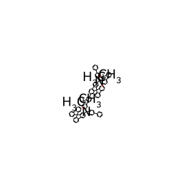 CC1(C)c2ccc(N(c3ccc(-c4ccccc4)cc3)c3ccc4c(c3)C3(c5ccccc5-c5ccccc53)c3ccccc3-4)cc2-c2ccc(-c3ccc4c(c3)C3(c5ccccc5-c5ccccc53)c3cc(N(c5ccc(-c6ccccc6)cc5)c5cccc6c5C(C)(C)c5ccccc5-6)ccc3-4)cc21